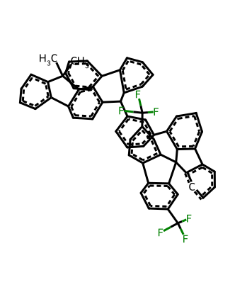 CC1(C)c2ccccc2-c2ccc(C(c3cccc(-c4cccc5c4C4(c6cc(C(F)(F)F)ccc6-c6ccc(C(F)(F)F)cc64)c4ccccc4-5)c3)c3ccccc3-c3ccccc3)cc21